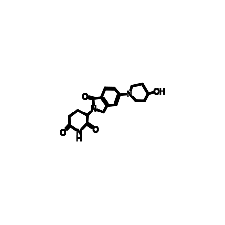 O=C1CCC(N2Cc3cc(N4CCC(O)CC4)ccc3C2=O)C(=O)N1